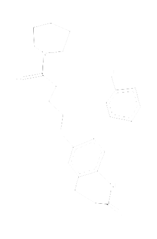 CCc1ccccc1.O=C1CCc2cc(OCCCC(=O)N3CCCCC3)ccc2N1